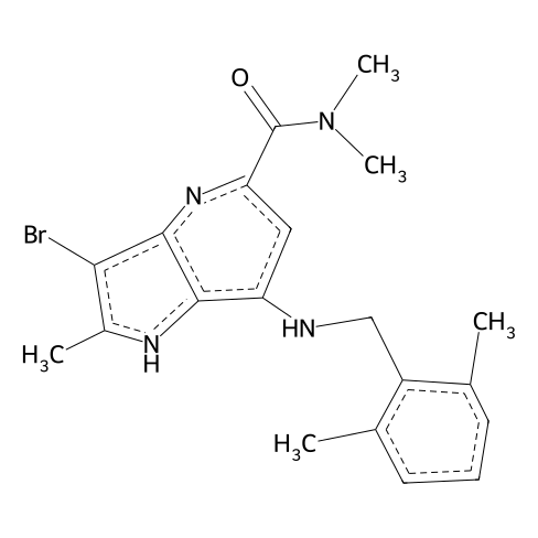 Cc1cccc(C)c1CNc1cc(C(=O)N(C)C)nc2c(Br)c(C)[nH]c12